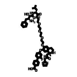 CC(C)C[C@H](NC(=O)[C@@H](O)[C@H](N)Cc1ccccc1)C(=O)NCCOCCOCCOCCOc1cc2c(cc1Oc1ccc(-c3ccc(C(=O)O)cc3)c(F)c1)[C@@](C)(CC(=O)Nc1nccs1)NCC2